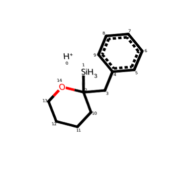 [H+].[SiH3]C1(Cc2ccccc2)CCCCO1